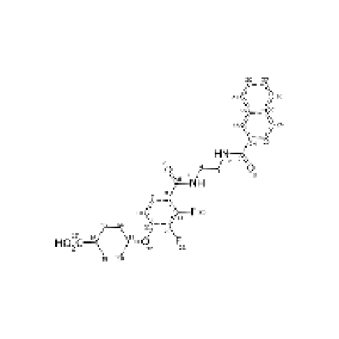 O=C(NCCNC(=O)c1ccc(O[C@H]2CC[C@H](C(=O)O)CC2)c(F)c1F)c1ccc2ccccc2c1